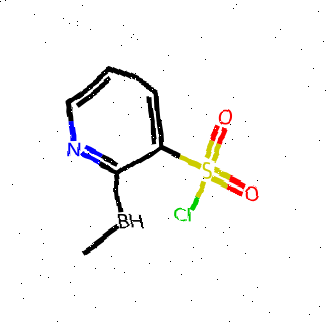 CBc1ncccc1S(=O)(=O)Cl